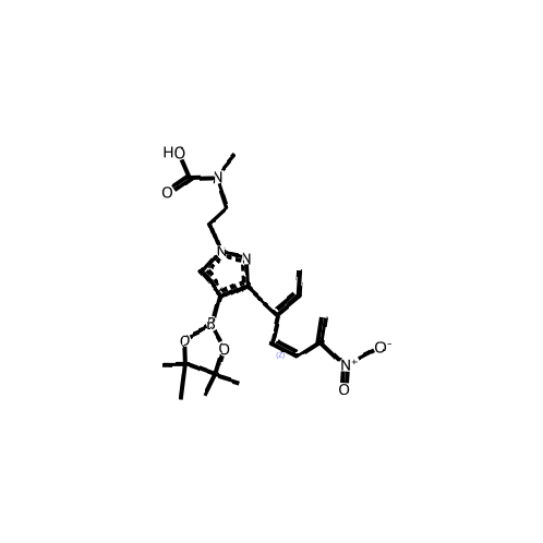 C=C(/C=C\C(=CC)c1nn(CCN(C)C(=O)O)cc1B1OC(C)(C)C(C)(C)O1)[N+](=O)[O-]